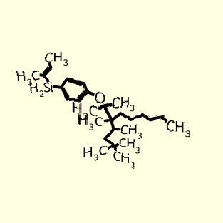 CC=C(C)[SiH2]c1ccc(OC(C)(C)C(C)(CCCCCC)C(C)CC(C)(C)C)cc1